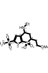 CCNC1CC(CCOC)S(=O)(=O)c2sc(S(N)(=O)=O)cc21